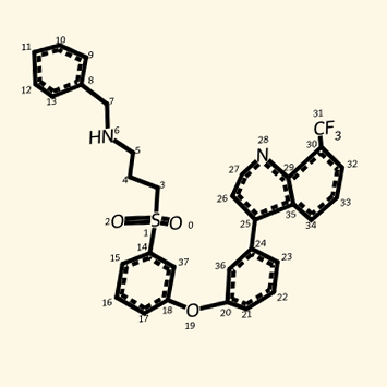 O=S(=O)(CCCNCc1ccccc1)c1cccc(Oc2cccc(-c3ccnc4c(C(F)(F)F)cccc34)c2)c1